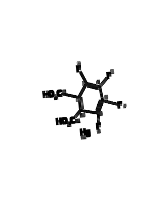 O=C(O)c1c(F)c(F)c(F)c(F)c1C(=O)O.[Hg]